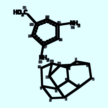 C1C2CC3C4CC5CC(C14)C(C2)C3C5.Nc1cc(N)cc(C(=O)O)c1